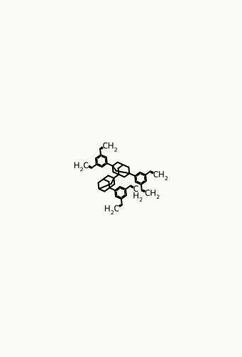 C=Cc1cc(C=C)cc(C23CC4CC(C2)CC(C25CC6CC(c7cc(C=C)cc(C=C)c7)(CC(c7cc(C=C)cc(C=C)c7)(C6)C2)C5)(C4)C3)c1